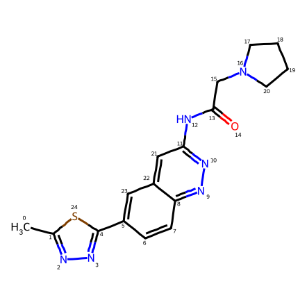 Cc1nnc(-c2ccc3nnc(NC(=O)CN4CCCC4)cc3c2)s1